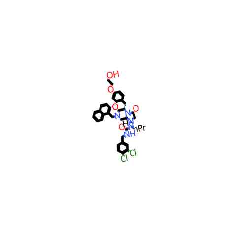 CCCN(C(=O)NCc1ccc(Cl)c(Cl)c1)N1CC(=O)N2[C@@H](Cc3ccc(OCCO)cc3)C(=O)N(Cc3cccc4ccccc34)C[C@@H]21